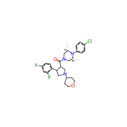 C[C@@H]1CN(C(=O)C2CN(C3CCOCC3)CC2c2ccc(F)cc2F)C[C@H](C)N1c1ccc(Cl)cc1